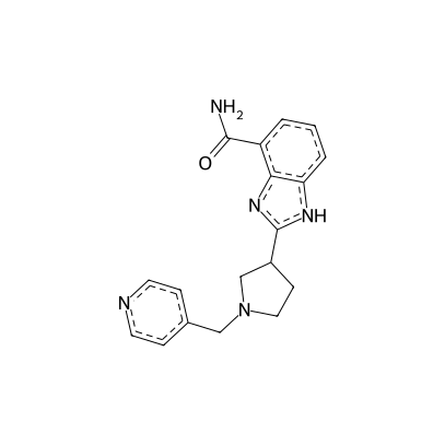 NC(=O)c1cccc2[nH]c(C3CCN(Cc4ccncc4)C3)nc12